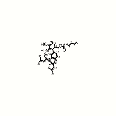 CCCCOC(=O)OCC(C)C(c1ccc(OC(=O)CC(C)C)c(OC(=O)CC(C)C)c1)[C@H](N)C(=O)O